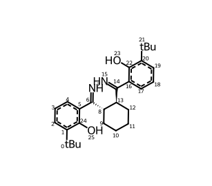 CC(C)(C)c1cccc(C(=N)[C@H]2CCCC[C@@H]2C(=N)c2cccc(C(C)(C)C)c2O)c1O